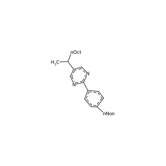 CCCCCCCCCc1ccc(-c2ncc(C(C)CCCCCCCC)cn2)cc1